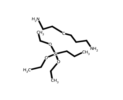 CCC[Si](OCC)(OCC)OCC.NCCCCCCN